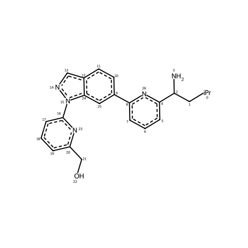 CC(C)CC(N)c1cccc(-c2ccc3cnn(-c4cccc(CO)n4)c3c2)n1